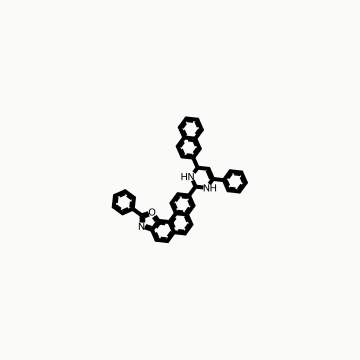 C1=C(c2ccccc2)NC(c2ccc3c(ccc4ccc5nc(-c6ccccc6)oc5c43)c2)NC1c1ccc2ccccc2c1